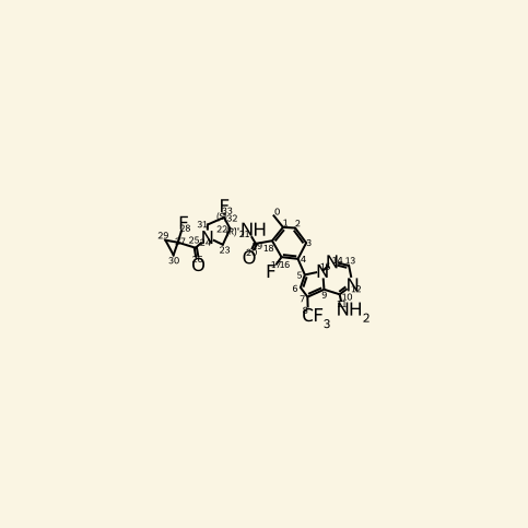 Cc1ccc(-c2cc(C(F)(F)F)c3c(N)ncnn23)c(F)c1C(=O)N[C@@H]1CN(C(=O)C2(F)CC2)C[C@@H]1F